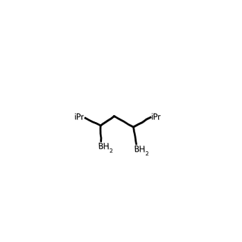 BC(CC(B)C(C)C)C(C)C